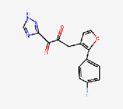 O=C(Cc1ccoc1-c1ccc(F)cc1)C(=O)c1nc[nH]n1